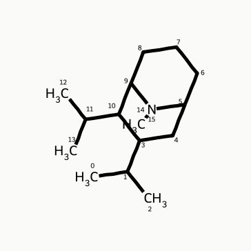 CC(C)C1CC2CCCC(C1C(C)C)N2C